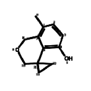 Cc1ccc(O)c2c1COCC21CC1